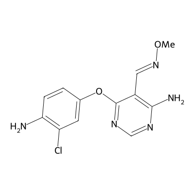 CON=Cc1c(N)ncnc1Oc1ccc(N)c(Cl)c1